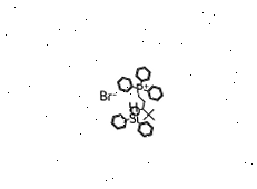 CC(C)(C)C(CC[P+](c1ccccc1)(c1ccccc1)c1ccccc1)O[SiH](c1ccccc1)c1ccccc1.[Br-]